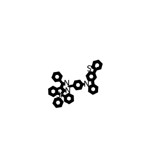 c1ccc(-c2nc(-c3ccc(-n4c5ccccc5c5cc6c(cc54)sc4ccccc46)cc3)nc3c2-c2ccccc2[Si]3(c2ccccc2)c2ccccc2)cc1